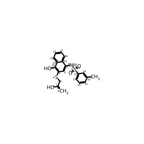 C=C(O)CSc1cc(NS(=O)(=O)c2cccc(C)c2)c2ccccc2c1O